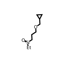 CC[Si](=O)CCCOCC1CC1